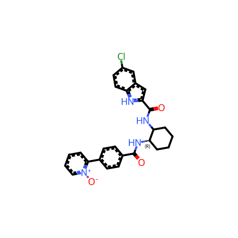 O=C(N[C@@H]1CCCCC1NC(=O)c1cc2cc(Cl)ccc2[nH]1)c1ccc(-c2cccc[n+]2[O-])cc1